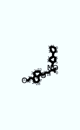 Cc1oc(-c2ccc(C3CCCCC3)cc2)nc1CCOc1cccc2c1CCC=C2CC=O